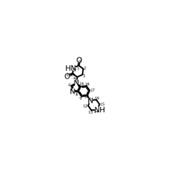 O=C1CCC(n2cnc3cc(N4CCNCC4)ccc32)C(=O)N1